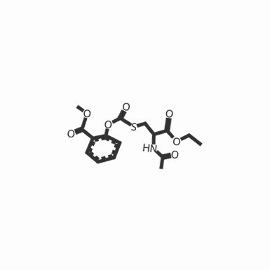 CCOC(=O)C(CSC(=O)Oc1ccccc1C(=O)OC)NC(C)=O